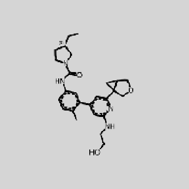 CC[C@@H]1CCN(C(=O)Nc2ccc(C)c(-c3cc(NCCO)nc(C45COCC4C5)c3)c2)C1